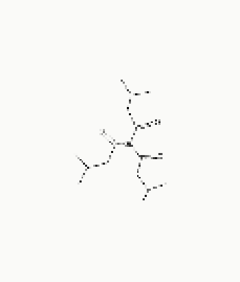 CC(C)CC(=O)[Si](C(=O)CC(C)C)C(=O)CC(C)C